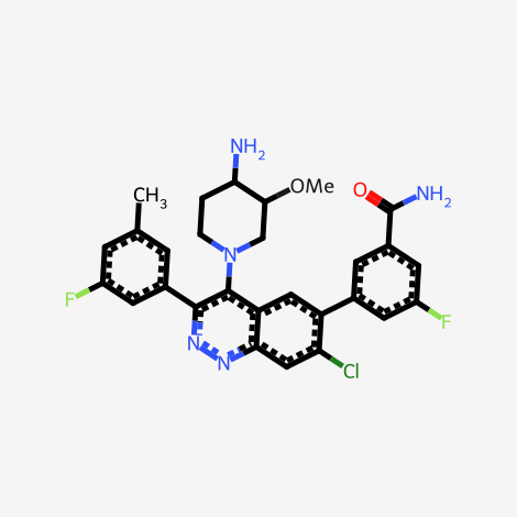 COC1CN(c2c(-c3cc(C)cc(F)c3)nnc3cc(Cl)c(-c4cc(F)cc(C(N)=O)c4)cc23)CCC1N